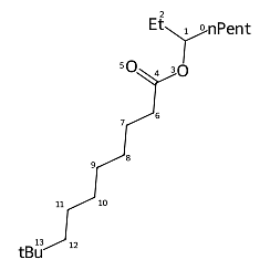 CCCCCC(CC)OC(=O)CCCCCCCC(C)(C)C